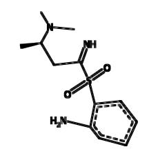 C[C@H](CC(=N)S(=O)(=O)c1ccccc1N)N(C)C